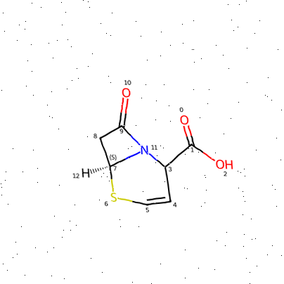 O=C(O)C1C=CS[C@H]2CC(=O)N12